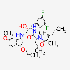 C=CCO[C@H]1C[C@H](NC[C@@H](O)[C@H](Cc2cc(F)cc(F)c2)NC(=O)[C@H](CC=C)N(C)C(=O)[C@@H](C)CCCC)c2cc(OC)ccc21